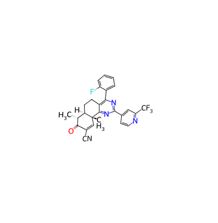 C[C@H]1C(=O)C(C#N)=C[C@@]2(C)c3nc(-c4ccnc(C(F)(F)F)c4)nc(-c4ccccc4F)c3CC[C@H]12